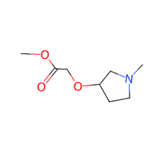 COC(=O)COC1CCN(C)C1